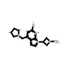 CN1CC(n2ccc3c(CN4CCCC4)cc(Cl)nc32)C1